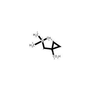 C[Si](C)(C)CC1(C(=O)O)CC1